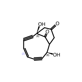 O=C1CC2C(=O)[C@](O)(C#C/C=C\C#C[C@@H]2O)C1